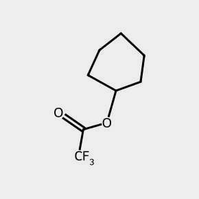 O=C(OC1CCCCC1)C(F)(F)F